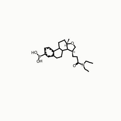 CCN(CC)C(=O)CC[C@@H]1CO[C@@]2(C)CCC3c4ccc(B(O)O)cc4CCC3C12